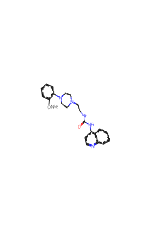 COc1ccccc1N1CCN(CCNC(=O)Nc2ccnc3ccccc23)CC1